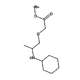 CC(COCC(=O)OC(C)(C)C)NC1CCCCC1